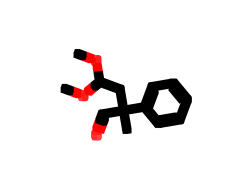 COC(CC(C)(C=O)c1ccccc1)OC